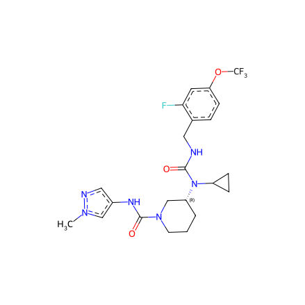 Cn1cc(NC(=O)N2CCC[C@@H](N(C(=O)NCc3ccc(OC(F)(F)F)cc3F)C3CC3)C2)cn1